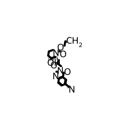 C=CCOC(=O)N1CCC[C@H](O)[C@H]1CC(=O)Cn1cnc2ccc(C#N)cc2c1=O